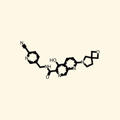 N#Cc1ccc(CNC(=O)c2ncc3nc(N4CCC5(COC5)C4)ccc3c2O)cn1